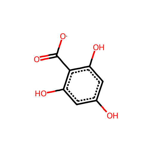 [O]C(=O)c1c(O)cc(O)cc1O